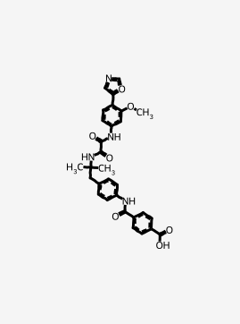 COc1cc(NC(=O)C(=O)NC(C)(C)Cc2ccc(NC(=O)c3ccc(C(=O)O)cc3)cc2)ccc1-c1cnco1